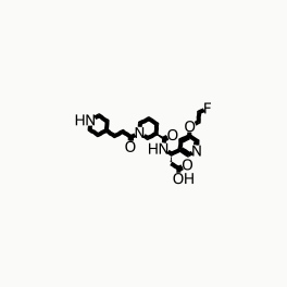 O=C(O)C[C@H](NC(=O)[C@@H]1CCCN(C(=O)CCC2CCNCC2)C1)c1cncc(OCCF)c1